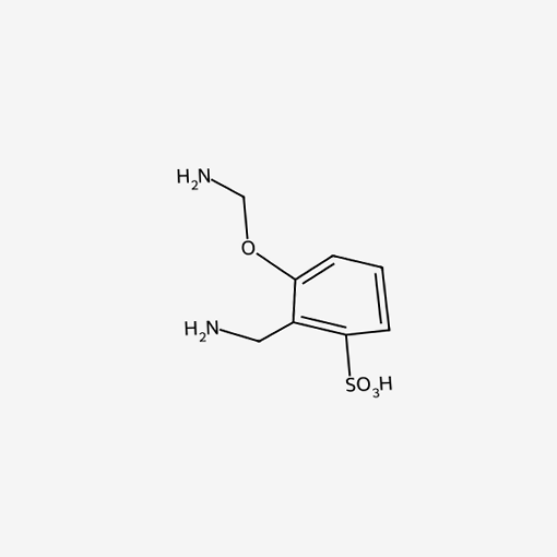 NCOc1cccc(S(=O)(=O)O)c1CN